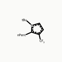 CCCCCc1c(C(F)(F)F)ccn1C(C)(C)C